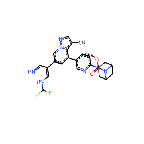 CC(C)(C)OC(=O)N1C2CC1CN(c1ccc(-c3cc(/C(C=N)=C/NC(F)F)cn4ncc(C#N)c34)cn1)C2